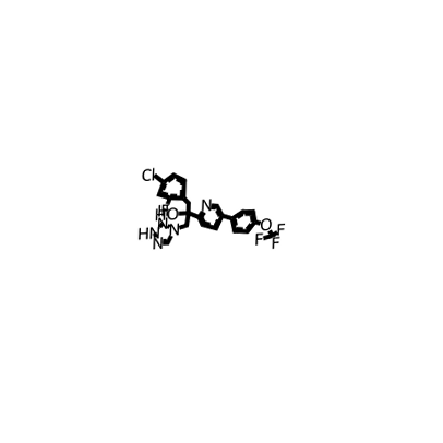 OC(Cc1ccc(Cl)cc1F)(CN1C=NNN1)c1ccc(-c2ccc(OC(F)(F)F)cc2)cn1